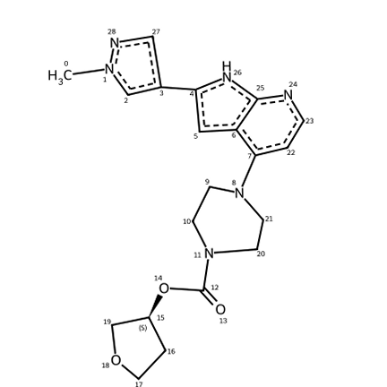 Cn1cc(-c2cc3c(N4CCN(C(=O)O[C@H]5CCOC5)CC4)ccnc3[nH]2)cn1